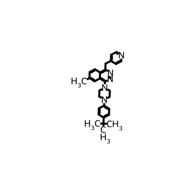 Cc1ccc2c(Cc3ccncc3)nnc(N3CCN(c4ccc(C(C)(C)C)cc4)CC3)c2c1